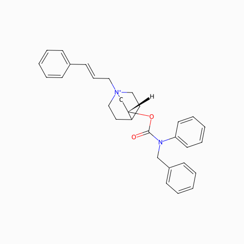 O=C(O[C@H]1C[N+]2(CC=Cc3ccccc3)CCC1CC2)N(Cc1ccccc1)c1ccccc1